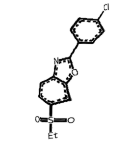 CCS(=O)(=O)c1ccc2nc(-c3ccc(Cl)cc3)oc2c1